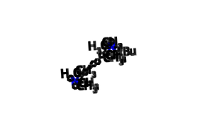 CC(C)(C)c1ccc(N2c3ccccc3C(C)(C)c3cc4c(cc32)C(C)(C)c2cc(-c3ccc5cc(/C=C/c6ccc7c(c6)C(C)(C)c6cc8c(cc6-7)C(C)(C)c6ccccc6N8c6ccccc6)ccc5c3)ccc2-4)cc1